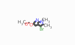 COCOc1cnc2c(c1)c(Br)c(C)n2C